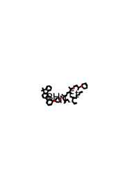 C=CCC/C=C(\C)[C@H](C=C)C/C=C(\C)N(/C(C)=C/C=C(CC)/C(C)=C/C=C\C(C)C1=CC=CCC1)C1CC=C(c2cccc3c2Bc2c-3ccc3c2-c2ccccc2C3(C)C)CC1